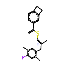 C=C(S/C=C(\C)Cc1cc(C)c(I)cc1C)c1ccc2c(c1)CC2